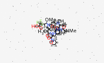 CC[C@H](C)[C@@H]([C@@H](CC(=O)N1CCC[C@H]1[C@H](OC)[C@@H](C)C(=O)N[C@@H](Cc1ccccc1)C(=O)N1CCCCO1)OC)N(C)[C@H](C(=O)NC(=O)[C@@H](NC)C(C)C)C(C)C.O=C(O)C(F)(F)F